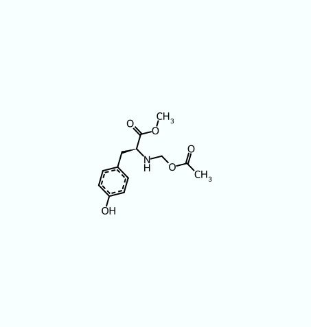 COC(=O)[C@H](Cc1ccc(O)cc1)NCOC(C)=O